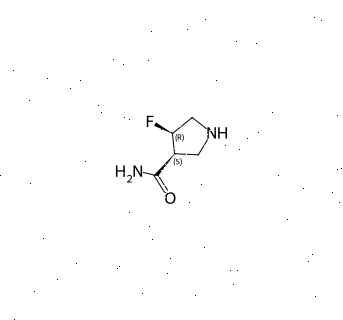 NC(=O)[C@@H]1CNC[C@@H]1F